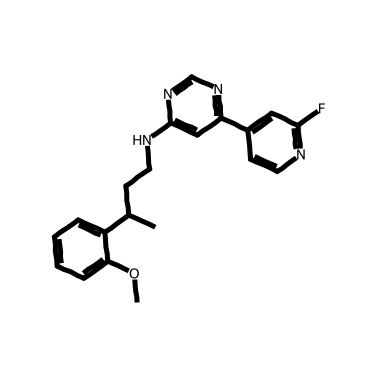 COc1ccccc1C(C)CCNc1cc(-c2ccnc(F)c2)ncn1